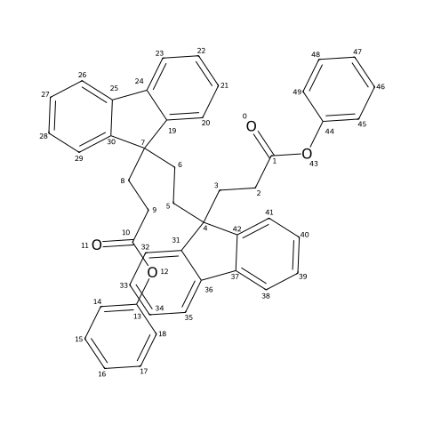 O=C(CCC1(CCC2(CCC(=O)Oc3ccccc3)c3ccccc3-c3ccccc32)c2ccccc2-c2ccccc21)Oc1ccccc1